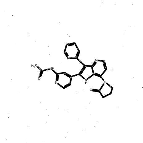 CC(=O)Nc1cc(-c2[nH]c3c(N4CCCC4=O)ccnc3c2-c2ccccn2)ccn1